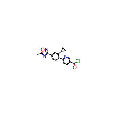 Cc1nc(-c2ccc(-c3ccc(C(=O)Cl)cn3)c(C3CC3)c2)no1